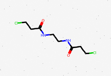 O=C(CCCl)NCCNC(=O)CCCl